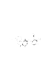 Cc1cc(Nc2ncnc(N)c2C#N)c(=O)n2c1C(=O)NC21CCCN(C)C1